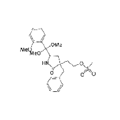 COc1ccccc1C(OC)(OC)C1CC(CCOS(C)(=O)=O)(Cc2ccccc2)C(=O)N1